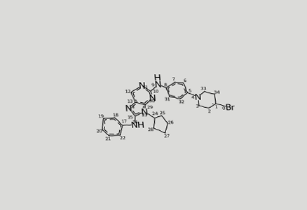 Br[C]1CCN(c2ccc(Nc3ncc4nc(Nc5ccccc5)n(C5CCCC5)c4n3)cc2)CC1